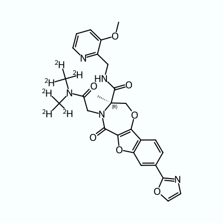 [2H]C([2H])([2H])N(C(=O)CN1C(=O)c2oc3cc(-c4ncco4)ccc3c2OC[C@]1(C)C(=O)NCc1ncccc1OC)C([2H])([2H])[2H]